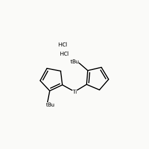 CC(C)(C)C1=[C]([Ti][C]2=C(C(C)(C)C)C=CC2)CC=C1.Cl.Cl